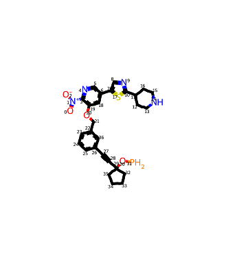 O=[N+]([O-])c1ncc(-c2cnc(C3CCNCC3)s2)cc1OCc1cccc(C#CC2(OP)CCCC2)c1